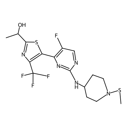 CSN1CCC(Nc2ncc(F)c(-c3sc(C(C)O)nc3C(F)(F)F)n2)CC1